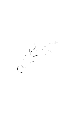 Nc1nc(=O)n([C@H]2C[C@@H](CO)[C@H](O)[C@H]2F)cc1C(=O)OCc1ccccc1